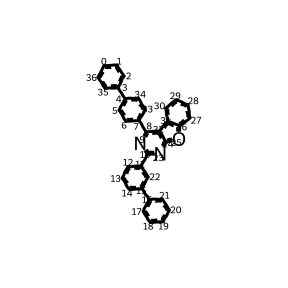 c1ccc(-c2ccc(-c3nc(-c4cccc(-c5ccccc5)c4)nc4oc5ccccc5c34)cc2)cc1